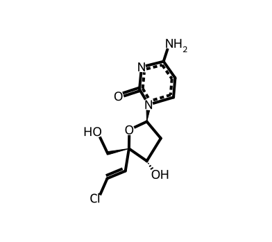 Nc1ccn([C@H]2C[C@H](O)[C@@](/C=C/Cl)(CO)O2)c(=O)n1